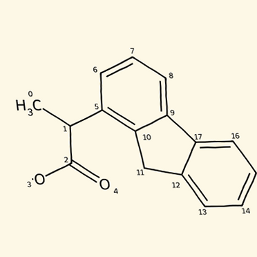 CC(C([O])=O)c1cccc2c1Cc1ccccc1-2